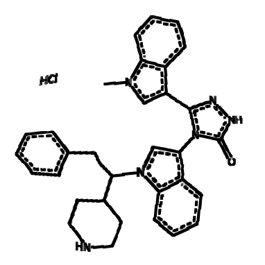 Cl.Cn1cc(-c2n[nH]c(=O)n2-c2cn(C(Cc3ccccc3)C3CCNCC3)c3ccccc23)c2ccccc21